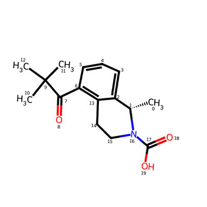 C[C@H]1c2cccc(C(=O)C(C)(C)C)c2CCN1C(=O)O